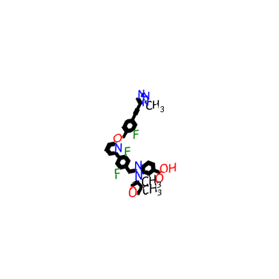 Cn1nncc1C#Cc1ccc(COc2cccc(-c3cc(F)c(Cc4nc5ccc(C(=O)O)cc5n4C4COCC4(C)C)cc3F)n2)c(F)c1